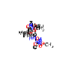 C=CCOC(=O)N[C@@H](Cc1ccccc1)C(=O)NCC(=O)Nc1ccc(COC(=O)N2c3cc(O[Si](C(C)C)(C(C)C)C(C)C)c(OC)cc3C(=O)N3CC4(CC4)C[C@H]3C2O[Si](C)(C)C(C)(C)C)cc1